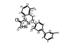 Cc1cccc(-c2ccc(OCc3c(C)cccc3-n3nnn(C)c3=O)c(C)c2)c1